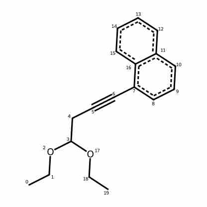 CCOC(CC#Cc1cccc2ccccc12)OCC